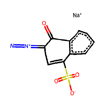 [N-]=[N+]=C1C=C(S(=O)(=O)[O-])c2ccccc2C1=O.[Na+]